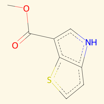 COC(=O)c1c[nH]c2ccsc12